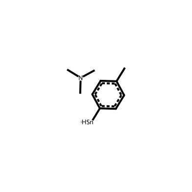 CN(C)C.Cc1cc[c]([SnH])cc1